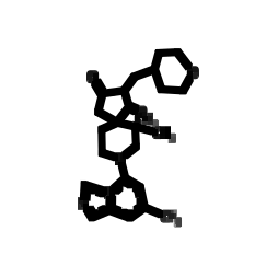 CC1(C)CN(c2cc(C(F)(F)F)cc3cncn23)CCC12CC(=O)C(CC1CCOCC1)C2=O